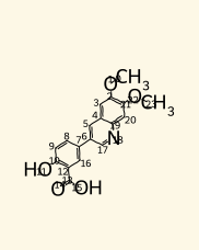 COc1cc2cc(-c3ccc(O)c(C(=O)O)c3)cnc2cc1OC